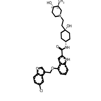 C[C@H]1CN(CC[C@]2(O)CC[C@@H](NC(=O)c3cc4c(OCc5coc6ccc(Cl)cc56)cccc4[nH]3)CC2)CC[C@@H]1O